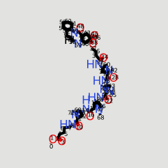 COC(=O)CCCCNC(=O)c1cc(NC(=O)c2cc(NC(=O)c3nc(NC(=O)c4cc(NC(=O)CCCOc5cc6c(cc5OC)C(=O)N5c7ccccc7C[C@H]5C=N6)cn4C)cn3C)cn2C)cn1C